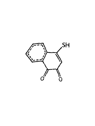 O=C1C=C(S)c2ccccc2C1=O